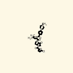 CC(C)CC(NC(=O)c1ccc(N2CCN(C)CC2)cc1)C(=O)N1CCC2C1C(=O)CN2C(=O)c1ccc(Cl)o1